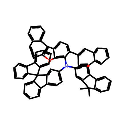 CC1(C)c2ccccc2-c2ccc(N(c3ccc4c(c3)C3(c5ccccc5-c5ccccc53)c3ccccc3-4)c3c(-c4ccc5ccccc5c4)ccc4c3oc3ccc5ccccc5c34)cc21